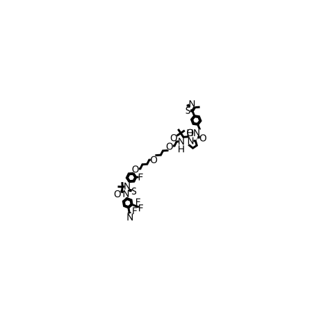 Cc1ncsc1-c1ccc(CNC(=O)[C@@H]2CCCN2C(=O)[C@@H](NC(=O)COCCCCOCCCCOc2ccc(N3C(=S)N(c4ccc(C#N)c(C(F)(F)F)c4)C(=O)C3(C)C)cc2F)C(C)(C)C)cc1